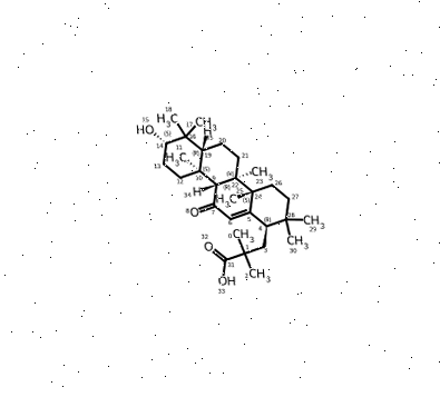 CC(C)(C[C@H]1C2=CC(=O)[C@@H]3[C@@]4(C)CC[C@H](O)C(C)(C)[C@@H]4CC[C@@]3(C)[C@]2(C)CCC1(C)C)C(=O)O